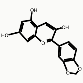 Oc1cc(O)c2cc(O)c(-c3ccc4c(c3)OCO4)[o+]c2c1